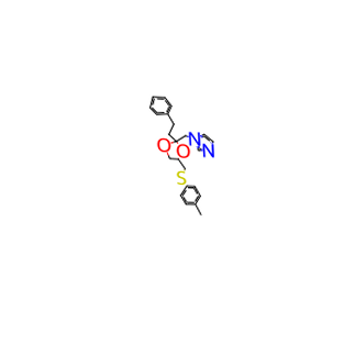 Cc1ccc(SCC2COC(CCc3ccccc3)(Cn3ccnc3)O2)cc1